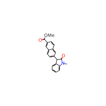 COC(=O)c1ccc2cc(C3C(=O)N(C)c4ccccc43)ccc2c1